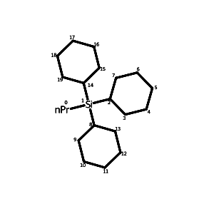 [CH2]CC[Si](C1CCCCC1)(C1CCCCC1)C1CCCCC1